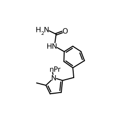 CCCn1c(C)ccc1Cc1cccc(NC(N)=O)c1